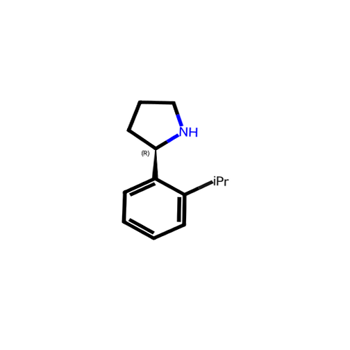 CC(C)c1ccccc1[C@H]1CCCN1